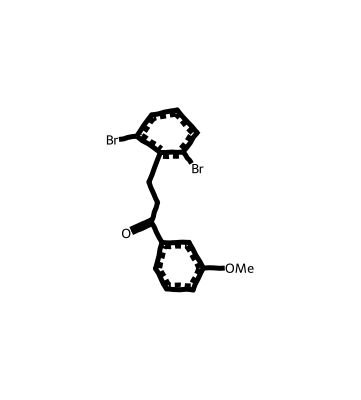 COc1cccc(C(=O)CCc2c(Br)cccc2Br)c1